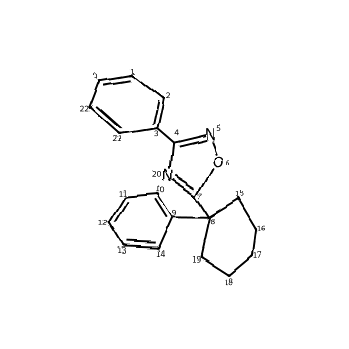 c1ccc(-c2noc(C3(c4ccccc4)CCCCC3)n2)cc1